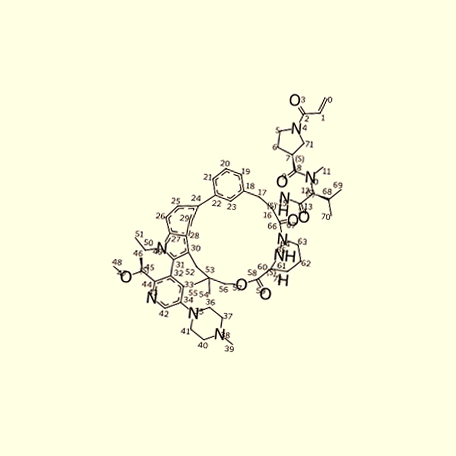 C=CC(=O)N1CC[C@H](C(=O)N(C)[C@H](C(=O)N[C@H]2Cc3cccc(c3)-c3ccc4c(c3)c(c(-c3cc(N5CCN(C)CC5)cnc3[C@H](C)OC)n4CC)CC(C)(C)COC(=O)[C@@H]3CCCN(N3)C2=O)C(C)C)C1